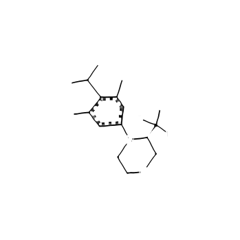 CC(C)c1c(F)cc(N2CCOC[C@@H]2C(F)(F)F)cc1F